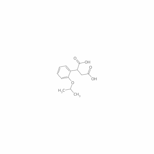 CC(C)Oc1ccccc1C(CC(=O)O)C(=O)O